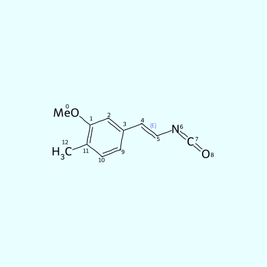 COc1cc(/C=C/N=C=O)ccc1C